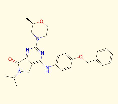 CC(C)N1Cc2c(Nc3ccc(OCc4ccccc4)cc3)nc(N3CCO[C@H](C)C3)nc2C1=O